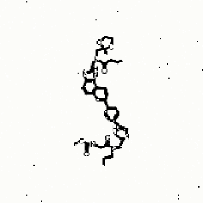 CCCC(=O)N(Cc1nc2ccc3cc(-c4ccc(-c5cnc(CN(CCC)C(=O)CNC(=O)OC)[nH]5)cc4)ccc3c2[nH]1)CC1(C)OCCO1